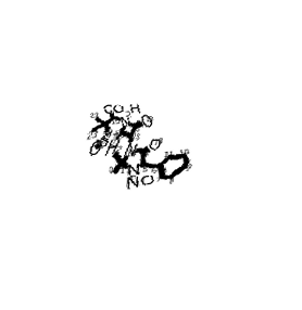 CC1(C)N(N=O)C(c2ccccc2)C(=O)N1C1C(=O)N2C(C(=O)O)C(C)(C)[S+]([O-])[C@@H]12